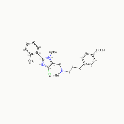 CCCCN(CCCc1ccc(C(=O)O)cc1)Cc1c(Cl)nc(-c2ccccc2C)n1CCCC